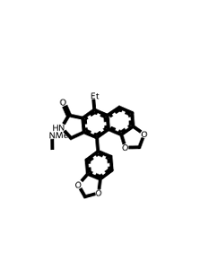 CCc1c2c(c(-c3ccc4c(c3)OCO4)c3c4c(ccc13)OCO4)CNC2=O.CNC